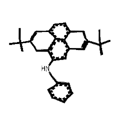 CC(C)(C)C1=Cc2cc(Nc3ccccc3)c3c4c(ccc(c24)C1)C=C(C(C)(C)C)C3